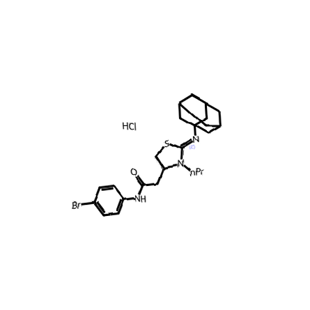 CCCN1/C(=N/C23CC4CC(CC(C4)C2)C3)SCC1CC(=O)Nc1ccc(Br)cc1.Cl